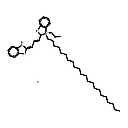 CCCCCCCCCCCCCCCCCCCCCC[N+]1(CCC)c2ccccc2OC1C=CC=C1Nc2ccccc2O1.[I-]